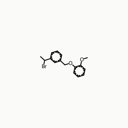 COc1ccccc1OCc1cccc(C(C)Br)c1